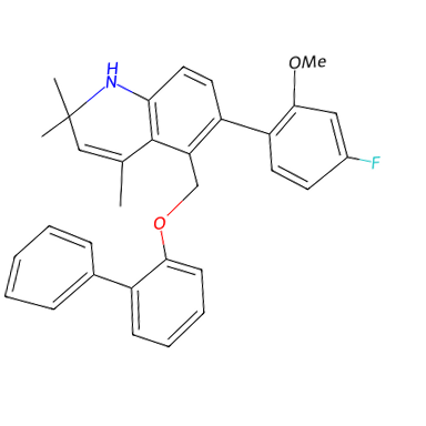 COc1cc(F)ccc1-c1ccc2c(c1COc1ccccc1-c1ccccc1)C(C)=CC(C)(C)N2